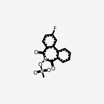 CS(=O)(=O)On1c(=O)c2ccccc2c2cc(F)ccc2c1=O